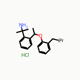 CC(C)Cc1ccccc1OC(C)c1ccccc1C(C)(C)N.Cl